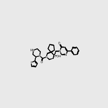 O=C(N1CC[C@@](O)(Cn2cnc(-c3ccccc3)cc2=O)C2(CCCC2)C1)N1CCNCC1c1cccs1